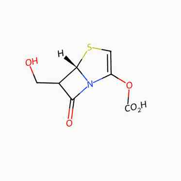 O=C(O)OC1=CS[C@H]2C(CO)C(=O)N12